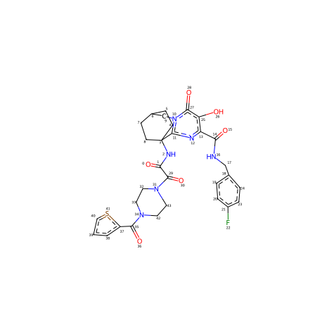 O=C(NC12CCC(CC1)Cn1c2nc(C(=O)NCc2ccc(F)cc2)c(O)c1=O)C(=O)N1CCN(C(=O)c2cccs2)CC1